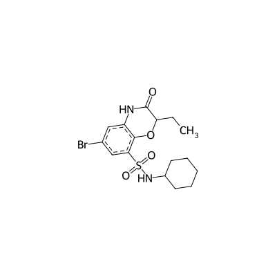 CCC1Oc2c(cc(Br)cc2S(=O)(=O)NC2CCCCC2)NC1=O